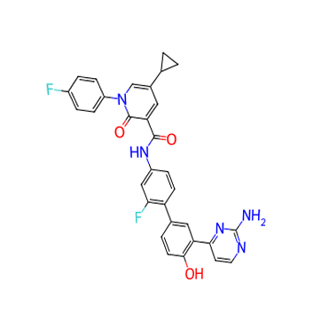 Nc1nccc(-c2cc(-c3ccc(NC(=O)c4cc(C5CC5)cn(-c5ccc(F)cc5)c4=O)cc3F)ccc2O)n1